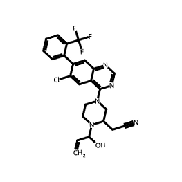 C=CC(O)N1CCN(c2ncnc3cc(-c4ccccc4C(F)(F)F)c(Cl)cc23)CC1CC#N